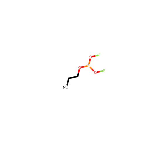 N#CCCOP(OF)OF